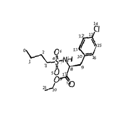 CCCCS(=O)(=O)N[C@@H](Cc1ccc(Cl)cc1)C(=O)OCC